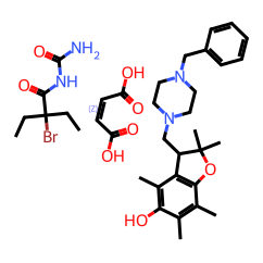 CCC(Br)(CC)C(=O)NC(N)=O.Cc1c(C)c2c(c(C)c1O)C(CN1CCN(Cc3ccccc3)CC1)C(C)(C)O2.O=C(O)/C=C\C(=O)O